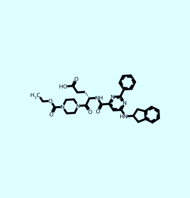 CCOC(=O)N1CCN(C(=O)[C@H](CCC(=O)O)NC(=O)c2cc(NC3Cc4ccccc4C3)nc(-c3ccccc3)n2)CC1